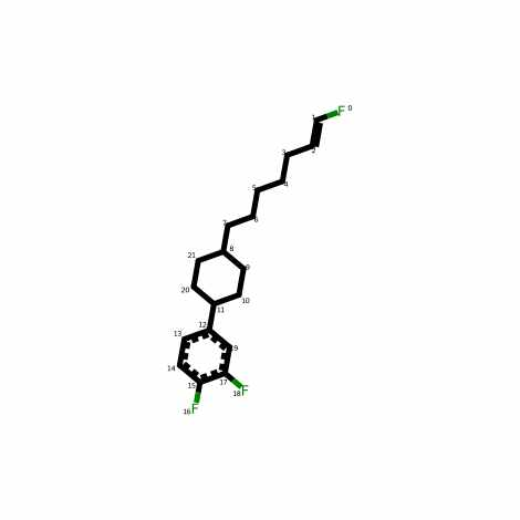 F/C=C/CCCCCC1CCC(c2ccc(F)c(F)c2)CC1